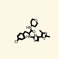 Cc1nc(C)c(-c2csc(NC(Cc3ccc(Cl)cc3)C(=O)NC3CCOCC3)n2)s1